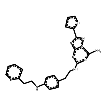 Nc1nc(NCCc2ccc(NCCc3ccccn3)cc2)nc2nc(-c3ccco3)nn12